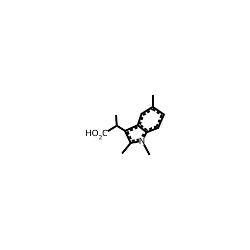 Cc1ccc2c(c1)c(C(C)C(=O)O)c(C)n2C